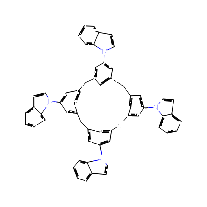 c1ccc2c(c1)ccn2-c1cc2cc(c1)Cc1cc(cc(-n3ccc4ccccc43)c1)Cc1cc(cc(-n3ccc4ccccc43)c1)Cc1cc(cc(-n3ccc4ccccc43)c1)C2